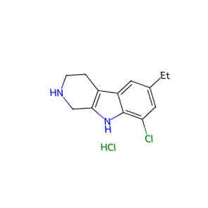 CCc1cc(Cl)c2[nH]c3c(c2c1)CCNC3.Cl